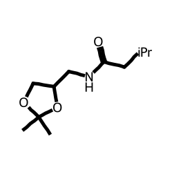 CC(C)CC(=O)NCC1COC(C)(C)O1